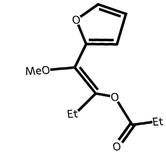 CCC(=O)OC(CC)=C(OC)c1ccco1